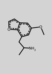 COc1cc(CC(C)N)c2occc2c1